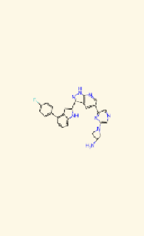 NC1CN(c2cncc(-c3cnc4[nH]nc(-c5cc6c(-c7ccc(F)cc7)cccc6[nH]5)c4c3)n2)C1